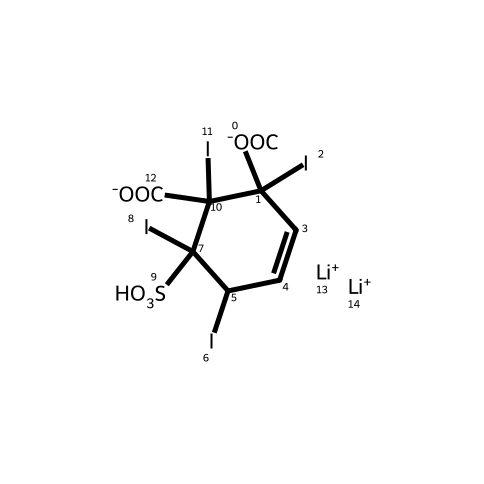 O=C([O-])C1(I)C=CC(I)C(I)(S(=O)(=O)O)C1(I)C(=O)[O-].[Li+].[Li+]